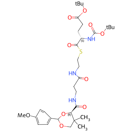 COc1ccc(C2OCC(C)(C)[C@H](C(=O)NCCC(=O)NCCSC(=O)[C@H](CCC(=O)OC(C)(C)C)NC(=O)OC(C)(C)C)O2)cc1